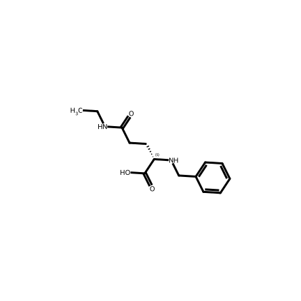 CCNC(=O)CC[C@H](NCc1ccccc1)C(=O)O